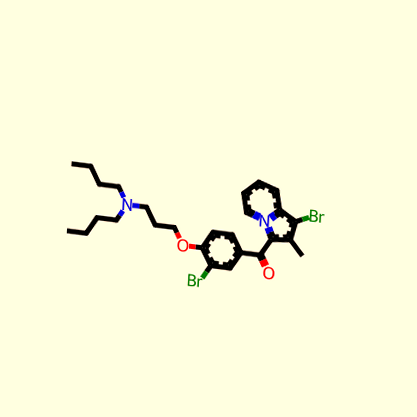 CCCCN(CCCC)CCCOc1ccc(C(=O)c2c(C)c(Br)c3ccccn23)cc1Br